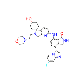 O=C1NCc2c(-c3cnc4cc(F)ccn34)ccc(Nc3ccc4c(n3)CN(CCN3CCOCC3)C43CCC(O)CC3)c21